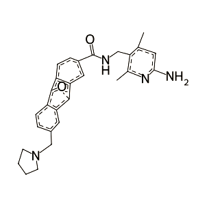 Cc1cc(N)nc(C)c1CNC(=O)c1ccc2c(c1)c1oc2c2ccc(CN3CCCC3)cc21